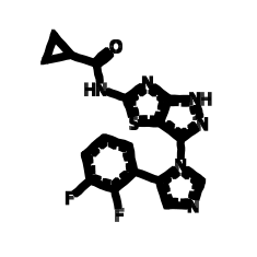 O=C(Nc1nc2[nH]nc(-n3cncc3-c3cccc(F)c3F)c2s1)C1CC1